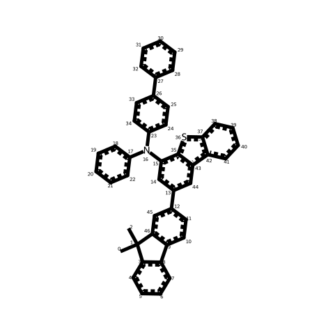 CC1(C)c2ccccc2-c2ccc(-c3cc(N(c4ccccc4)c4ccc(-c5ccccc5)cc4)c4sc5ccccc5c4c3)cc21